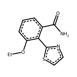 CCOc1cccc(C(N)=O)c1-c1nccs1